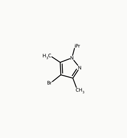 Cc1nn(C(C)C)c(C)c1Br